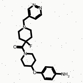 Nc1ccc(OC2CCN(C(=O)C3(F)CCN(Cc4ccnnc4)CC3)CC2)cc1